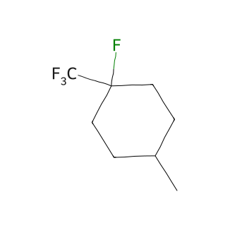 CC1CCC(F)(C(F)(F)F)CC1